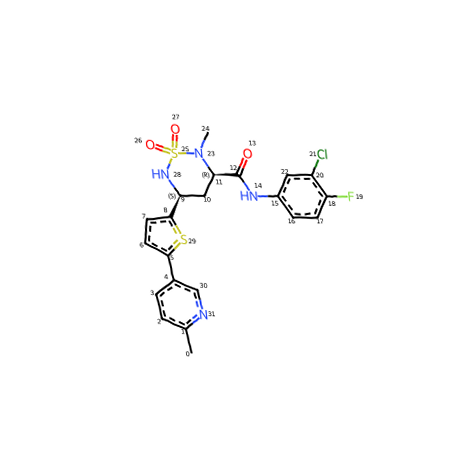 Cc1ccc(-c2ccc([C@@H]3C[C@H](C(=O)Nc4ccc(F)c(Cl)c4)N(C)S(=O)(=O)N3)s2)cn1